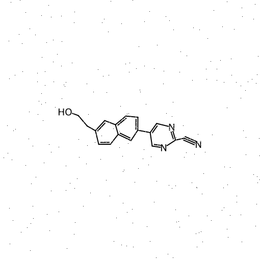 N#Cc1ncc(-c2ccc3cc(CCO)ccc3c2)cn1